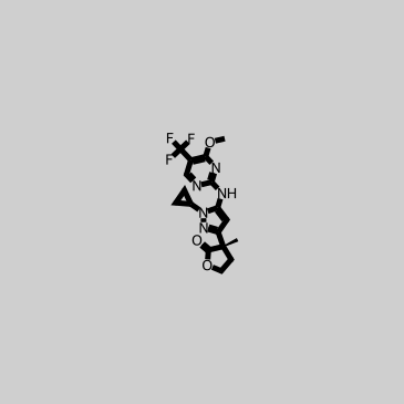 COc1nc(Nc2cc([C@]3(C)CCOC3=O)nn2C2CC2)ncc1C(F)(F)F